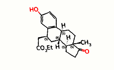 CCOC(=O)C[C@@H]1C[C@@H]2[C@H](CC[C@]3(C)C(=O)CC[C@@H]23)c2ccc(O)cc21